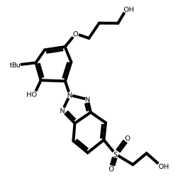 CC(C)(C)c1cc(OCCCO)cc(-n2nc3ccc(S(=O)(=O)CCO)cc3n2)c1O